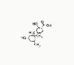 CC1CC(O)CC(C)(C)C1.O=C(O)c1ccccc1O